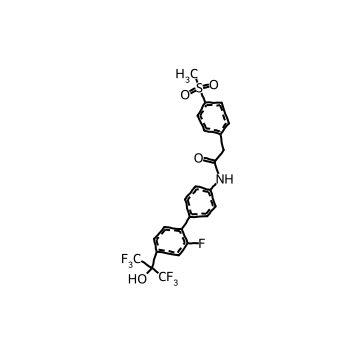 CS(=O)(=O)c1ccc(CC(=O)Nc2ccc(-c3ccc(C(O)(C(F)(F)F)C(F)(F)F)cc3F)cc2)cc1